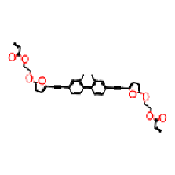 C=CC(=O)OCCOc1ccc(C#Cc2ccc(-c3ccc(C#Cc4ccc(OCCOC(=O)C=C)o4)cc3C)c(C)c2)o1